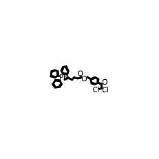 O=C(CCCCC[PH](c1ccccc1)(c1ccccc1)c1ccccc1)OCc1ccc(C(=O)C(Cl)Cl)cc1